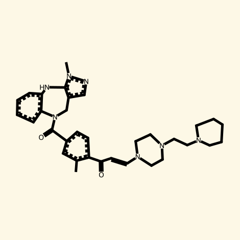 Cc1cc(C(=O)N2Cc3cnn(C)c3Nc3ccccc32)ccc1C(=O)/C=C/N1CCN(CCN2CCCCC2)CC1